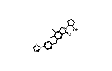 Cc1c(Cc2ccc(-n3cccn3)cc2)cc2c(c1C)CN([C@@H]1CCC[C@H]1O)C2=O